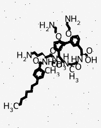 CCCCCCCCc1ccc(C(=O)N[C@@H](CCCN)C(=O)N(C)[C@@H]2C(=O)N[C@@H](C)C(=O)N[C@H](C(=O)O)Cc3ccc(OCCN)c(c3)-c3cc2ccc3OCCN)c(C)c1